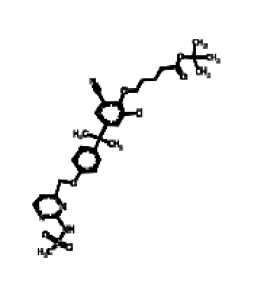 CC(C)(C)OC(=O)CCCCOc1c(Cl)cc(C(C)(C)c2ccc(OCc3ccnc(NS(C)(=O)=O)n3)cc2)cc1C#N